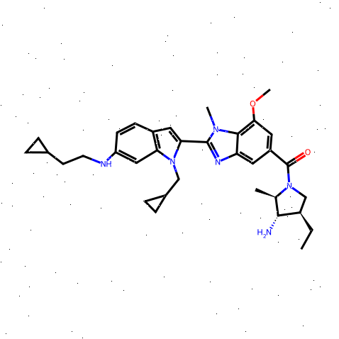 CC[C@@H]1CN(C(=O)c2cc(OC)c3c(c2)nc(-c2cc4ccc(NCCC5CC5)cc4n2CC2CC2)n3C)[C@H](C)[C@H]1N